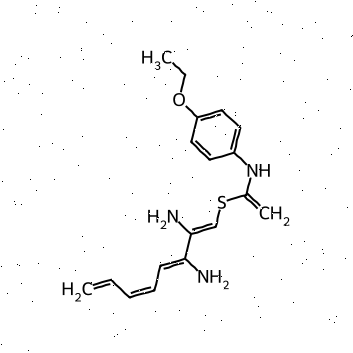 C=C\C=C/C=C(N)/C(N)=C/SC(=C)Nc1ccc(OCC)cc1